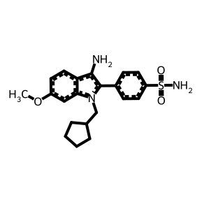 COc1ccc2c(N)c(-c3ccc(S(N)(=O)=O)cc3)n(CC3CCCC3)c2c1